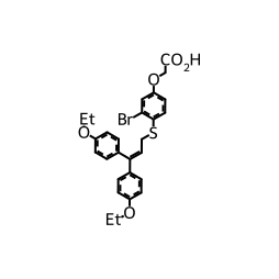 CCOc1ccc(C(=CCSc2ccc(OCC(=O)O)cc2Br)c2ccc(OCC)cc2)cc1